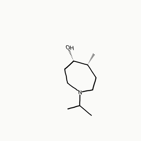 CC(C)N1CC[C@@H](C)[C@@H](O)CC1